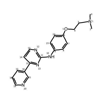 CN(C)CCOc1ccc(Nc2nccc(-c3cccnc3)n2)cc1